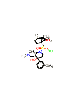 COc1cccc(C2(O)CCN(S(=O)(=O)C[C@@]34CC[C@@H](CC3=O)C4(C)C)CC2CN(C)C)c1.Cl